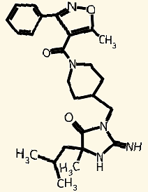 Cc1onc(-c2ccccc2)c1C(=O)N1CCC(CN2C(=N)NC(C)(CC(C)C)C2=O)CC1